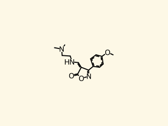 COc1ccc(C2=NOC(=O)C2=CNCCN(C)C)cc1